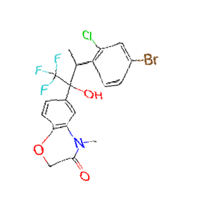 CC(c1ccc(Br)cc1Cl)C(O)(c1ccc2c(c1)N(C)C(=O)CO2)C(F)(F)F